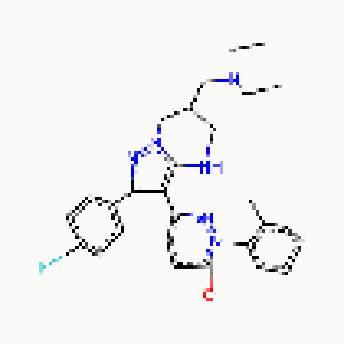 CCN(CC)CC1CNc2c(-c3ccc(=O)n(-c4ccccc4C)n3)c(-c3ccc(F)cc3)nn2C1